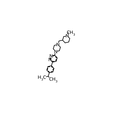 CC(C)c1ccc(-c2ccc(N3CCN(CC4CCCN(C)C4)CC3)nn2)cc1